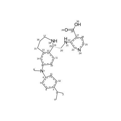 CC(C)c1ccc(N(C)c2ccc3c(c2)CCCN[C@@H]3CNc2cnccc2C(=O)O)cc1